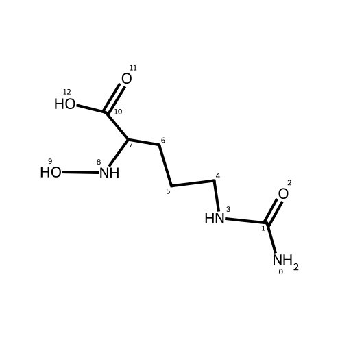 NC(=O)NCCCC(NO)C(=O)O